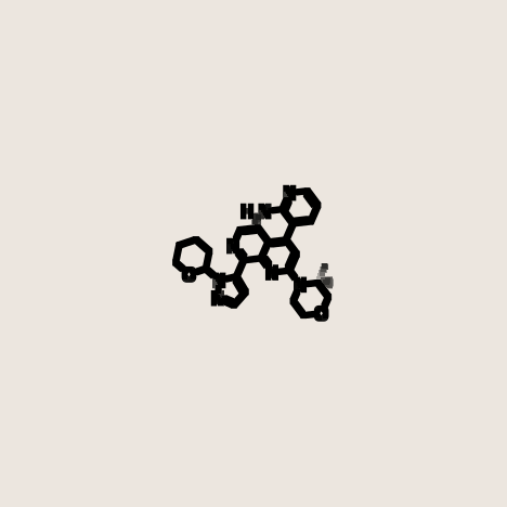 C[C@@H]1COCCN1c1cc(-c2cccnc2N)c2ccnc(-c3ccnn3C3CCCCO3)c2n1